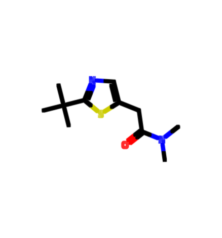 CN(C)C(=O)Cc1cnc(C(C)(C)C)s1